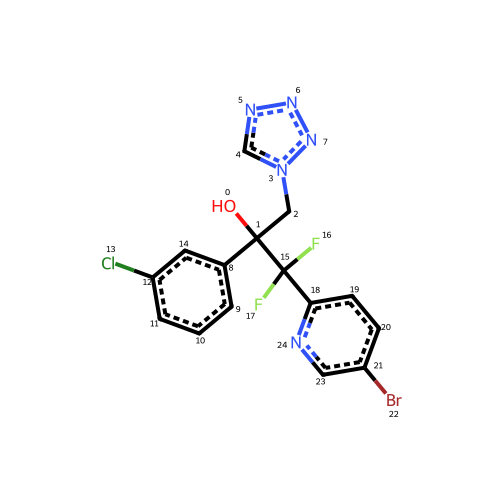 OC(Cn1cnnn1)(c1cccc(Cl)c1)C(F)(F)c1ccc(Br)cn1